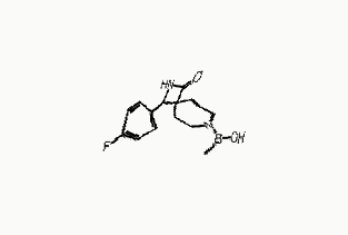 CB(O)N1CCC2(CC1)C(=O)NC2c1ccc(F)cc1